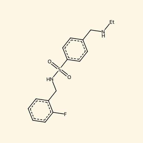 CCNCc1ccc(S(=O)(=O)NCc2ccccc2F)cc1